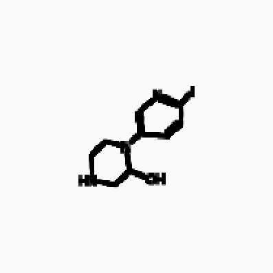 OC1CNCCN1c1ccc(I)nc1